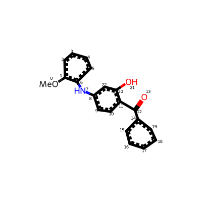 COc1ccccc1Nc1ccc(C(=O)c2ccccc2)c(O)c1